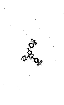 CS(=O)(=O)c1ccc(-c2nc3c(c(N4CCOCC4)n2)SC(CN2CCN(S(C)(=O)=O)CC2)C3)cc1